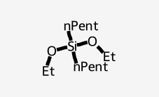 CCCCC[Si](CCCCC)(OCC)OCC